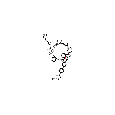 C[C@@H](CC(=O)O)c1ccc(-c2ccc(C[C@@H]3NC(=O)[C@]4(Cc5ccccc5)CCCN(C4)C(=O)/C=C/C(=O)NCC[C@@H](C(=O)NCCOCCN)NC(=O)Cc4ccccc4CNC3=O)cc2)cc1